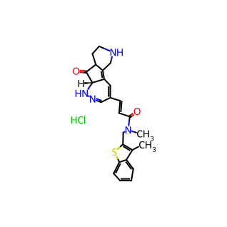 Cc1c(CN(C)C(=O)/C=C/C2=CC3=C4CNCCC4C(=O)[C@H]3NN=C2)sc2ccccc12.Cl